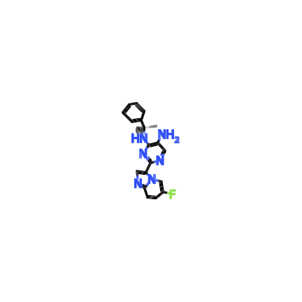 C[C@H](Nc1nc(-c2cnc3ccc(F)cn23)ncc1N)c1ccccc1